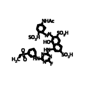 C=CS(=O)(=O)c1cccc(Nc2nc(F)nc(Nc3cc(S(=O)(=O)O)cc4cc(S(=O)(=O)O)c(N=Nc5cc(NC(C)=O)ccc5S(=O)(=O)O)c(O)c34)n2)c1